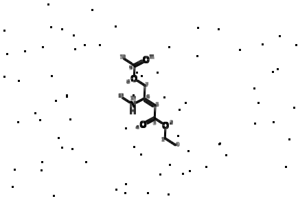 CCOC(=O)C=C(COC(C)=O)NC